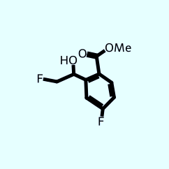 COC(=O)c1ccc(F)cc1C(O)CF